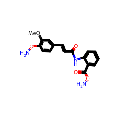 COc1cc(/C=C/C(=O)Nc2ccccc2C(=O)ON)ccc1ON